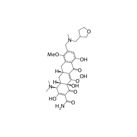 COc1c(CN(C)CC2CCOC2)cc(O)c2c1C[C@H]1C[C@H]3[C@H](N(C)C)C(O)=C(C(N)=O)C(=O)[C@@]3(O)C(OO)=C1C2=O